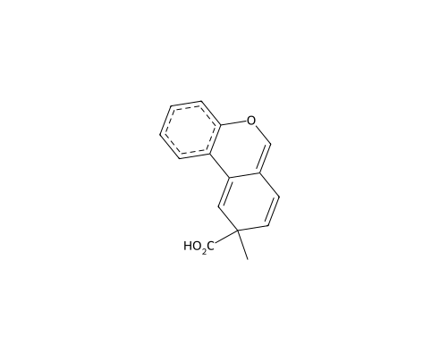 CC1(C(=O)O)C=CC2=COc3ccccc3C2=C1